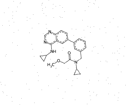 COCC(=O)N(Cc1cccc(-c2ccc3ncnc(NC4CC4)c3c2)c1)C1CC1